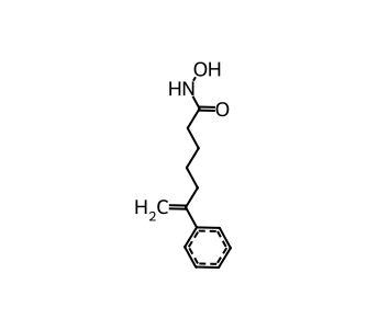 C=C(CCCCC(=O)NO)c1ccccc1